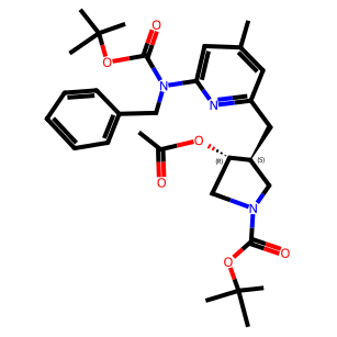 CC(=O)O[C@H]1CN(C(=O)OC(C)(C)C)C[C@@H]1Cc1cc(C)cc(N(Cc2ccccc2)C(=O)OC(C)(C)C)n1